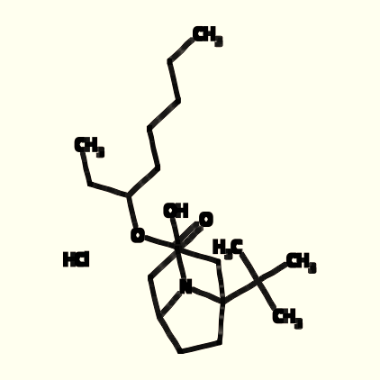 CCCCCC(CC)OC(=O)N1C2CCC1(C(C)(C)C)CC(O)C2.Cl